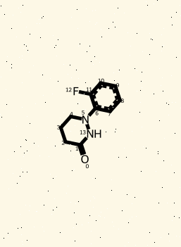 O=C1CCCN(c2ccccc2F)N1